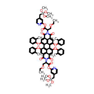 CCOCC(C(=O)Oc1cc(C[Si](OC)(OC)OC)ccn1)N1C(=O)c2cc(Oc3ccccc3C)c3c4c(Oc5ccccc5C)cc5c6c(cc(Oc7ccccc7C)c(c7c(Oc8ccccc8C)cc(c2c37)C1=O)c64)C(=O)N(C(COCC)C(=O)Oc1cc(C[Si](OC)(OC)OC)ccn1)C5=O